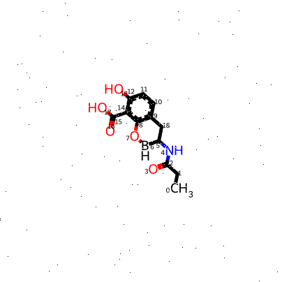 CCC(=O)NC1BOc2c(ccc(O)c2C(=O)O)C1